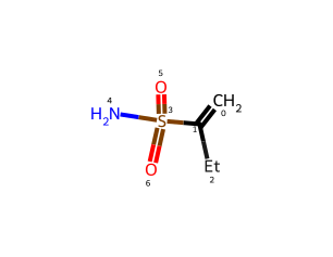 C=C(CC)S(N)(=O)=O